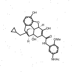 COc1ccc(NC(C)=O)cc1NC(=O)C1=C(O)[C@@H]2Oc3c(O)ccc4c3[C@@]23CCN(CC2CC2)[C@H](C4)[C@]3(O)C1